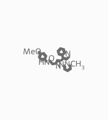 COc1ccc(NC(=O)Cc2cc(-c3ccnc4ccccc34)n(-c3cccc(C)n3)n2)cc1